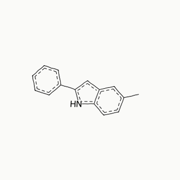 Cc1ccc2[nH]c(-c3ccccc3)cc2c1